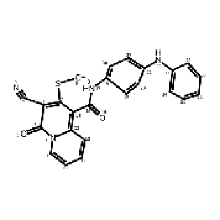 CSc1c(C#N)c(=O)n2ccccc2c1C(=O)Nc1ccc(Nc2ccccc2)cc1